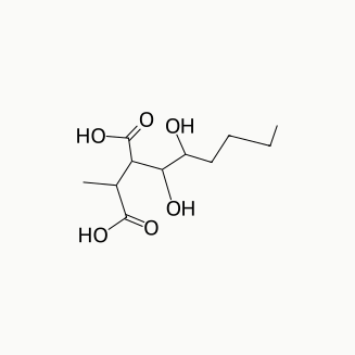 CCCCC(O)C(O)C(C(=O)O)C(C)C(=O)O